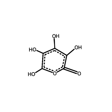 O=c1oc(O)c(O)c(O)c1O